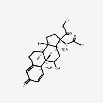 CCC(=O)O[C@]1(C(=O)CCl)CC[C@H]2[C@@H]3CCC4=CC(=O)C=C[C@]4(C)[C@@]3(F)C(O)C[C@@]21C